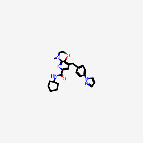 CN1CCOc2c(Cc3ccc(-n4cccn4)cc3)cc(C(=O)NC3CCCCC3)nc21